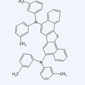 Cc1cccc(N(c2cccc(C)c2)c2cc3c4cc(N(c5cccc(C)c5)c5cccc(C)c5)c5ccccc5c4sc3c3ccccc23)c1